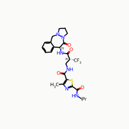 Cc1nc(C(=O)NC(C)C)sc1C(=O)NC[C@H](C(=O)N[C@@H]1C(=O)N2CCCN2Cc2ccccc21)C(F)(F)F